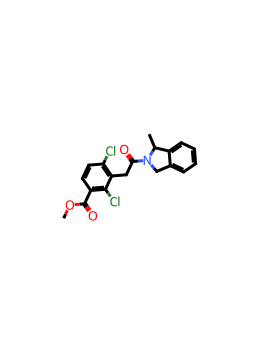 COC(=O)c1ccc(Cl)c(CC(=O)N2Cc3ccccc3C2C)c1Cl